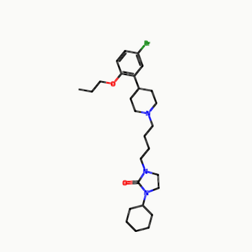 CCCOc1ccc(Br)cc1C1CCN(CCCCN2CCN(C3CCCCC3)C2=O)CC1